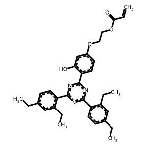 C=CC(=O)OCCOc1ccc(-c2nc(-c3ccc(CC)cc3CC)nc(-c3ccc(CC)cc3CC)n2)c(O)c1